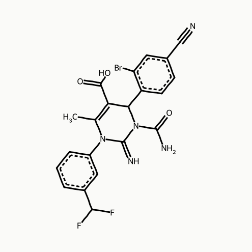 CC1=C(C(=O)O)C(c2ccc(C#N)cc2Br)N(C(N)=O)C(=N)N1c1cccc(C(F)F)c1